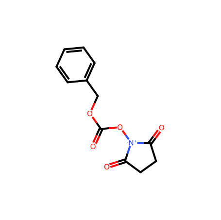 O=C(OCc1ccccc1)O[N+]1C(=O)CCC1=O